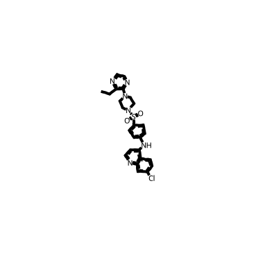 CCc1nccnc1N1CCN(S(=O)(=O)c2ccc(Nc3ccnc4cc(Cl)ccc34)cc2)CC1